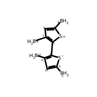 Bc1cc(B)c(-c2sc(B)cc2B)s1